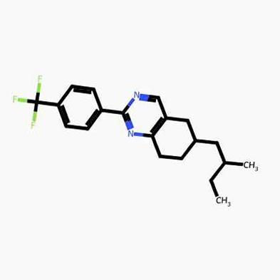 CCC(C)CC1CCc2nc(-c3ccc(C(F)(F)F)cc3)ncc2C1